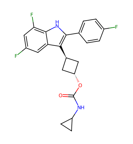 O=C(NC1CC1)O[C@H]1C[C@H](c2c(-c3ccc(F)cc3)[nH]c3c(F)cc(F)cc32)C1